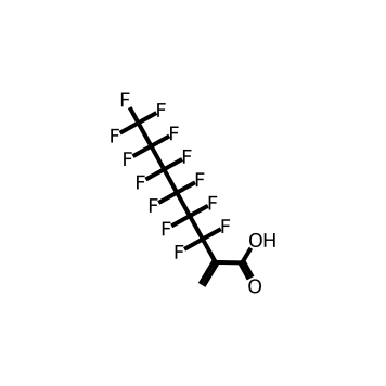 C=C(C(=O)O)C(F)(F)C(F)(F)C(F)(F)C(F)(F)C(F)(F)C(F)(F)F